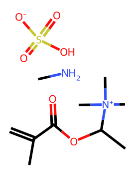 C=C(C)C(=O)OC(C)[N+](C)(C)C.CN.O=S(=O)([O-])O